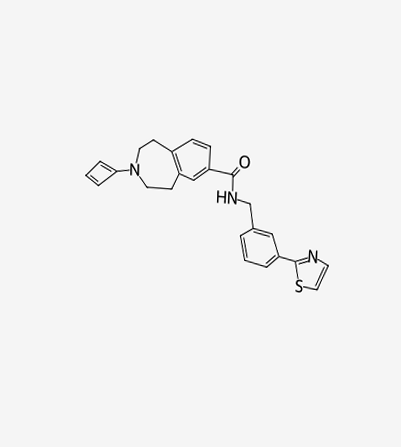 O=C(NCc1cccc(-c2nccs2)c1)c1ccc2c(c1)CCN(C1=CC=C1)CC2